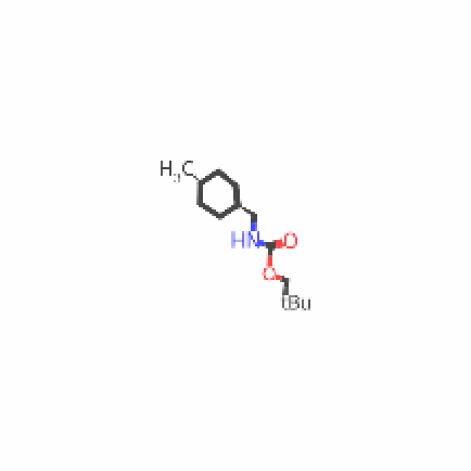 CC(C)(C)COC(=O)NC[C@H]1CC[C@H](C)CC1